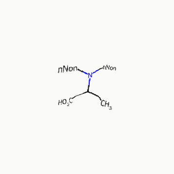 CCCCCCCCCN(CCCCCCCCC)C(C)C(=O)O